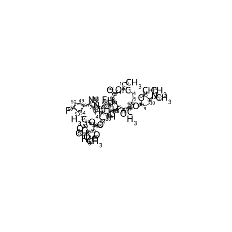 CC[C@H]1CCC[C@H](O[C@H]2CC[C@H](N(C)C)C(C)O2)[C@@H](C)C(=O)C2=C[C@H]3[C@@H]4C[C@H](O[C@@H]5OC(C)[C@H](OC)C(OC)C5OC)C[C@H]4C(n4cc(-c5ccc(F)cc5)nn4)C(F)[C@H]3[C@@H]2CC(=O)O1